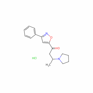 CC(CC(=O)c1cc(-c2ccccc2)no1)N1CCCC1.Cl